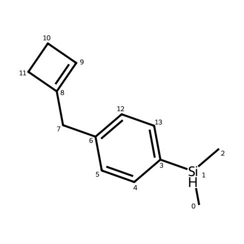 C[SiH](C)c1ccc(CC2=CCC2)cc1